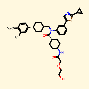 COc1ccc([C@H]2CC[C@H](CN(c3cccc(-c4cnc(C5CC5)s4)c3)C(=O)[C@H]3CC[C@H](NC(=O)COCCO)CC3)CC2)cc1C